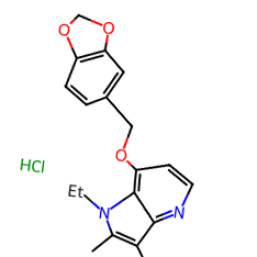 CCn1c(C)c(C)c2nccc(OCc3ccc4c(c3)OCO4)c21.Cl